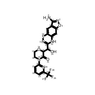 Nc1noc2cc3c(cc12)SN=C(C(O)C1OCCN(c2cccc(C(F)(F)F)n2)C1=O)N3